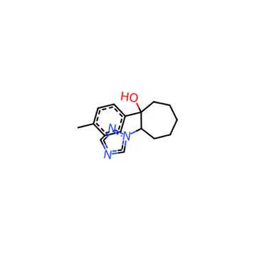 Cc1ccc(C2(O)CCCCCC2n2cncn2)cc1